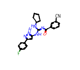 N#Cc1cccc(C(=O)/N=C(\Nc2cc(-c3ccc(F)cc3)n[nH]2)NC2CCCC2)c1